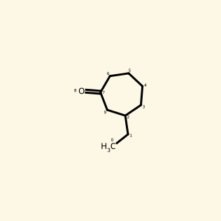 CCC1CCCCC(=O)C1